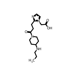 CCCNC1CCN(C(=O)CCc2nccn2CC(=O)O)CC1